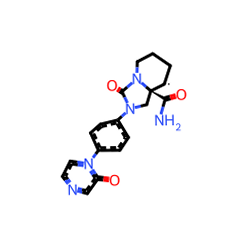 NC(=O)[C@]12[CH]CCCN1C(=O)N(c1ccc(-n3ccncc3=O)cc1)C2